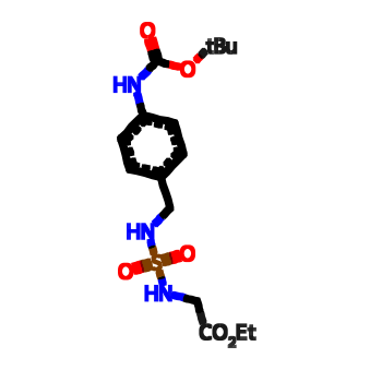 CCOC(=O)CNS(=O)(=O)NCc1ccc(NC(=O)OC(C)(C)C)cc1